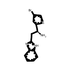 N[C@@H](Cc1nc2ccccc2[nH]1)c1cc(Br)cs1